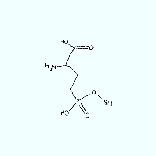 NC(CCP(=O)(O)OS)C(=O)O